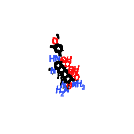 CCOc1ccc(CNc2cc(N(C)C)c3c(c2O)C(=O)C2=C(O)[C@]4(O)C(=O)C(C(N)=O)=C(ON)[C@@H](N(C)C)[C@@H]4C[C@@H]2C3)cc1C